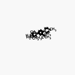 CN1CCN(c2ccc(B3OC(C)(C)C(C)(C)O3)cc2C(C)(C)C)CC1